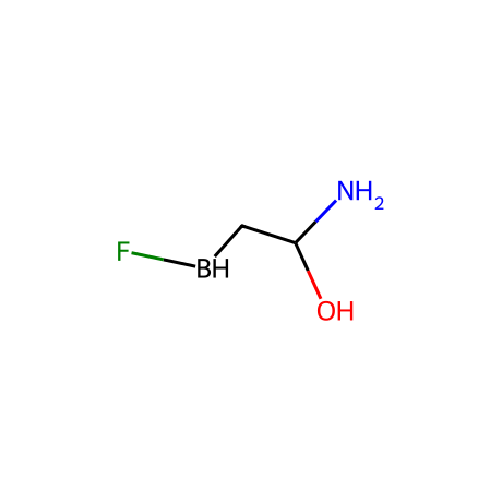 NC(O)CBF